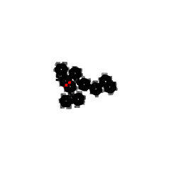 c1cc(-c2ccc(N(c3cccc(-n4c5ccccc5c5ccccc54)c3)c3ccccc3-c3cccc4sc5ccccc5c34)cc2)cc(-c2cccc3ccccc23)c1